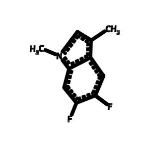 Cc1cn(C)c2cc(F)c(F)cc12